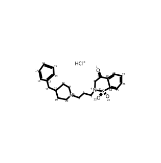 Cl.O=C1CN(CCCN2CCC(Cc3ccccc3)CC2)S(=O)(=O)c2ccccc21